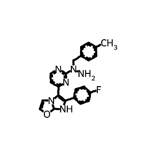 Cc1ccc(CN(N)c2nccc(C3=C(c4ccc(F)cc4)NC4OC=CN34)n2)cc1